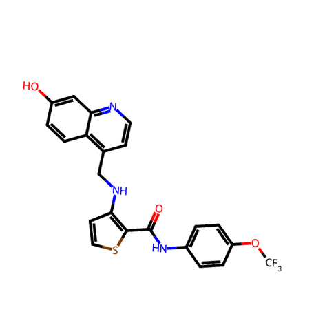 O=C(Nc1ccc(OC(F)(F)F)cc1)c1sccc1NCc1ccnc2cc(O)ccc12